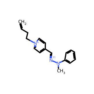 C=CCC[n+]1ccc(/C=N/N(C)c2ccccc2)cc1